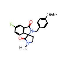 COc1ccc(CN2C(=O)c3cc(F)ccc3C23CCN(C)C3=O)cc1